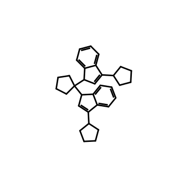 C1=C(C2CCCC2)c2ccccc2C1C1(C2C=C(C3CCCC3)c3ccccc32)CCCC1